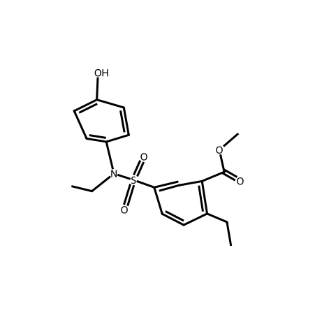 CCc1ccc(S(=O)(=O)N(CC)c2ccc(O)cc2)cc1C(=O)OC